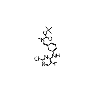 CN(C=C1C=CC=C(Nc2nc(Cl)ncc2F)C1)C(=O)OC(C)(C)C